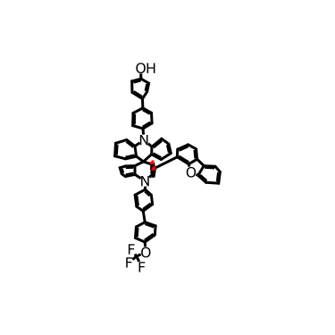 Oc1ccc(-c2ccc(N3c4ccccc4C4(c5ccccc53)c3ccccc3N(c3ccc(-c5ccc(OC(F)(F)F)cc5)cc3)c3ccc(-c5cccc6c5oc5ccccc56)cc34)cc2)cc1